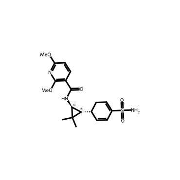 COc1ccc(C(=O)N[C@H]2[C@H](C3C=CC(S(N)(=O)=O)=CC3)C2(C)C)c(OC)n1